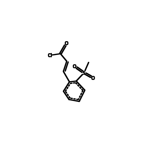 CS(=O)(=O)c1ccccc1C=CC(=O)Cl